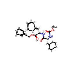 CC(C)(C)OC(=O)N[C@H](CC1CCCCC1)C(=O)N[C@@H](CC1CCCCC1)C(=O)OCc1ccccc1